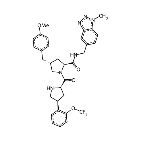 COc1ccc(C[C@@H]2C[C@@H](C(=O)NCc3ccc4c(c3)nnn4C)N(C(=O)[C@H]3C[C@@H](c4ccccc4OC(F)(F)F)CN3)C2)cc1